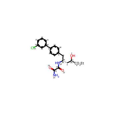 CCOC(=O)[C@H](O)C[C@@H](Cc1ccc(-c2cccc(Cl)c2)cc1)NC(=O)C(N)=O